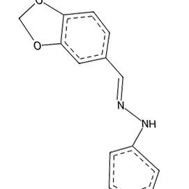 C(=NNc1ccccc1)c1ccc2c(c1)OCO2